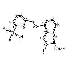 COc1cc2nccc(OCc3cccc(S(C)(=N)=O)c3)c2cc1F